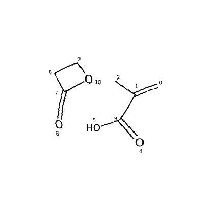 C=C(C)C(=O)O.O=C1CCO1